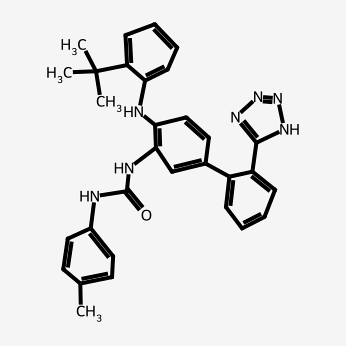 Cc1ccc(NC(=O)Nc2cc(-c3ccccc3-c3nnn[nH]3)ccc2Nc2ccccc2C(C)(C)C)cc1